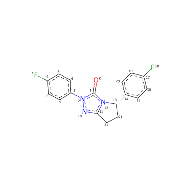 O=c1n(-c2ccc(F)cc2)nc2n1[C@H](c1ccc(F)cc1)CC2